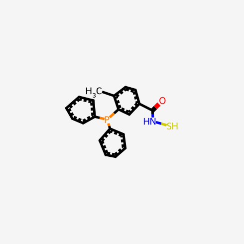 Cc1ccc(C(=O)NS)cc1P(c1ccccc1)c1ccccc1